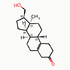 C[C@]12CC[C@@H]3C4=C(CC[C@H]3[C@H]1CC[C@H]2CO)CC(=O)CC4